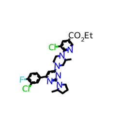 CCOC(=O)c1cnc(N2CCN(c3cc(-c4ccc(F)c(Cl)c4)nc(N4CCCC4C)n3)CC2C)c(Cl)c1